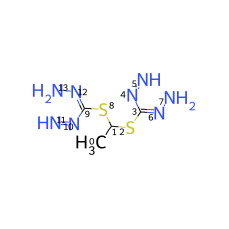 CC(SC(N=N)=NN)SC(N=N)=NN